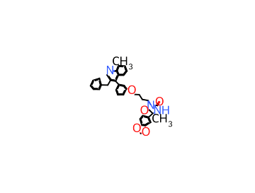 Cc1cccc2c(-c3cccc(OCCCCN4C(=O)NC(C)(c5ccc6c(c5)OCO6)C4=O)c3)c(Cc3ccccc3)cnc12